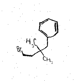 CC(C)(CBr)Cc1ccccc1